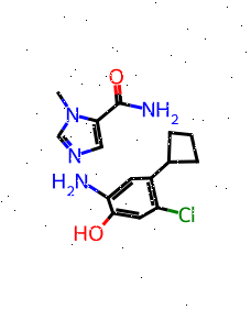 Cn1cncc1C(N)=O.Nc1cc(C2CCC2)c(Cl)cc1O